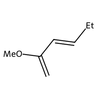 C=C(C=CCC)OC